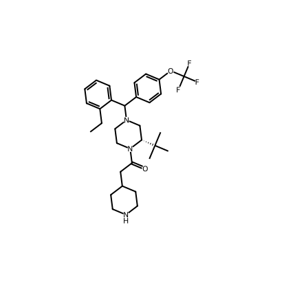 CCc1ccccc1C(c1ccc(OC(F)(F)F)cc1)N1CCN(C(=O)CC2CCNCC2)[C@@H](C(C)(C)C)C1